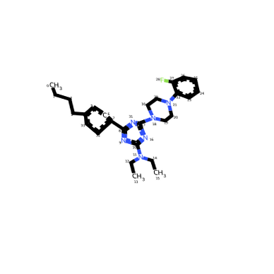 CCCCc1ccc(-c2nc(N(CC)CC)nc(N3CCN(c4ccccc4F)CC3)n2)cc1